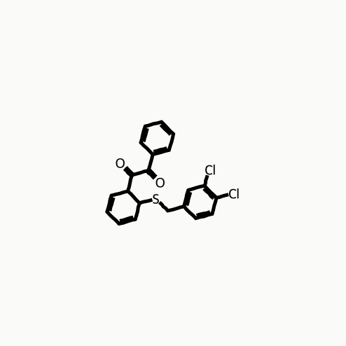 O=C(C(=O)C1C=CC=CC1SCc1ccc(Cl)c(Cl)c1)c1ccccc1